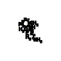 CC(C)/C(=N\CCCN)NC1/C=C\C(F)=CCC[C@@H]1C